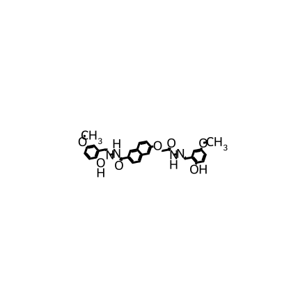 COc1ccc(O)c(/C=N/NC(=O)COc2ccc3cc(C(=O)N/N=C/c4cc(OC)ccc4O)ccc3c2)c1